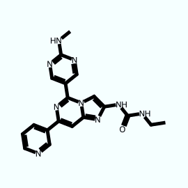 CCNC(=O)Nc1cn2c(-c3cnc(NC)nc3)nc(-c3cccnc3)cc2n1